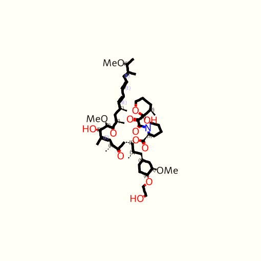 CO[C@@H](C)/C(C)=C/C=C/C=C/[C@@H](C)C[C@@H](C)C(=O)[C@H](OC)[C@H](O)/C(C)=C/[C@@H](C)C(=O)C[C@H](OC(=O)[C@@H]1CCCCN1C(=O)C(=O)[C@]1(O)OCCC[C@H]1C)[C@@H](C)C[C@@H]1CC[C@@H](OCCO)[C@H](OC)C1